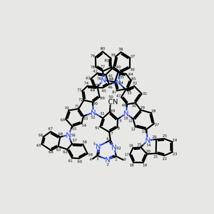 Cc1nc(C)nc(-c2cc(-n3c4cc(-n5c6ccccc6c6ccccc65)ccc4c4ccc(-n5c6ccccc6c6ccccc65)cc43)c(C#N)c(-n3c4cc(-n5c6ccccc6c6ccccc65)ccc4c4ccc(-n5c6ccccc6c6ccccc65)cc43)c2)n1